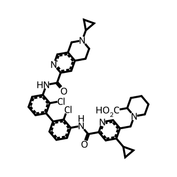 O=C(Nc1cccc(-c2cccc(NC(=O)c3cc(C4CC4)c(CN4CCCCC4C(=O)O)cn3)c2Cl)c1Cl)c1cc2c(cn1)CN(C1CC1)CC2